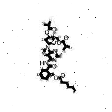 CCCCCC(=O)OCc1ccccc1C(=O)Nc1nc(F)nc2c1ncn2[C@H]1C[C@H](OC(=O)C(C)C)[C@@](C)(COC(=O)C(C)C)O1